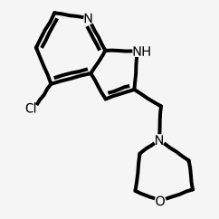 Clc1ccnc2[nH]c(CN3CCOCC3)cc12